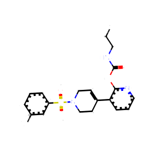 O=C(NCCC(F)(F)F)Oc1ncccc1C1=CCN(S(=O)(=O)c2cccc(C(F)(F)F)c2)CC1